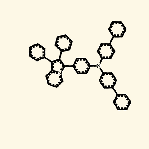 c1ccc(-c2ccc(N(c3ccc(-c4ccccc4)cc3)c3ccc(-c4c(-c5ccccc5)c(-c5ccccc5)c5ccccn45)cc3)cc2)cc1